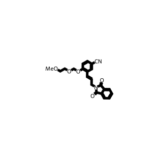 COCCOCOc1ccc(C#N)cc1/C=C/CN1C(=O)c2ccccc2C1=O